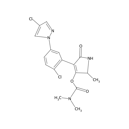 CC1NC(=O)C(c2cc(-n3cc(Cl)cn3)ccc2Cl)=C1OC(=O)N(C)C